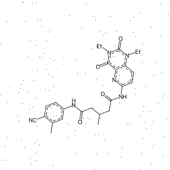 CCn1c(=O)c2nc(NC(=O)CC(C)CC(=O)Nc3ccc(C#N)c(C)c3)ccc2n(CC)c1=O